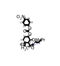 CO[C@H]1C(C2(C)O[C@@H]2/C=C/C(C)C)[C@]2(CC[C@H]1OC(=O)Oc1ccc([N+](=O)[O-])cc1)CO2